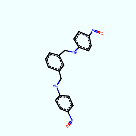 O=Nc1ccc(NCc2cccc(CNc3ccc(N=O)cc3)c2)cc1